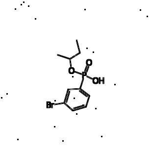 CCC(C)OP(=O)(O)c1cccc(Br)c1